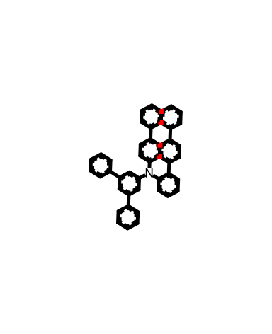 c1ccc(-c2ccc(-c3ccccc3N(c3ccc(-c4ccccc4)cc3)c3cc(-c4ccccc4)cc(-c4ccccc4)c3)cc2)cc1